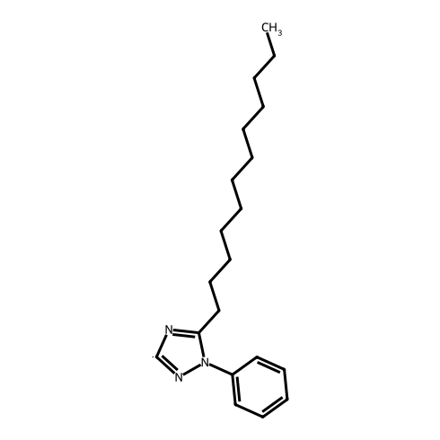 CCCCCCCCCCCCc1n[c]nn1-c1ccccc1